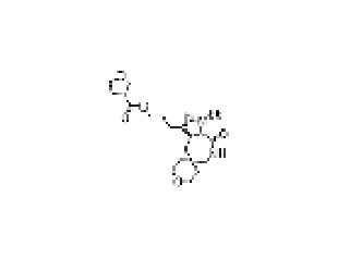 CCn1nc(CCCOC(=O)C2CCOC2)c2c1C(=O)NCC1(CCOCC1)C2